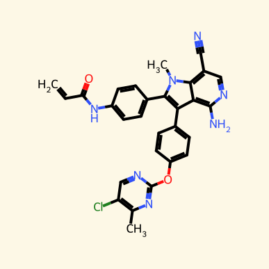 C=CC(=O)Nc1ccc(-c2c(-c3ccc(Oc4ncc(Cl)c(C)n4)cc3)c3c(N)ncc(C#N)c3n2C)cc1